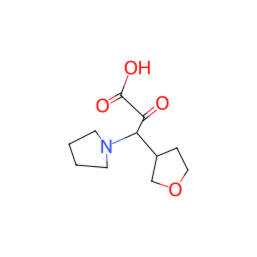 O=C(O)C(=O)C(C1CCOC1)N1CCCC1